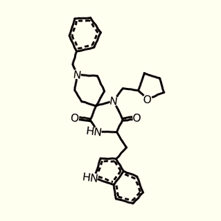 O=C1C(Cc2c[nH]c3ccccc23)NC(=O)C2(CCN(Cc3ccccc3)CC2)N1CC1CCCO1